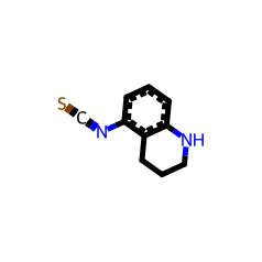 S=C=Nc1cccc2c1CCCN2